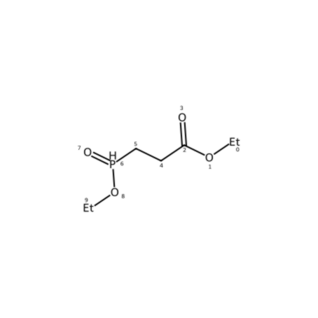 CCOC(=O)CC[PH](=O)OCC